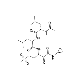 CC(=O)N[C@@H](CC(C)C)C(=O)N[C@@H](CC(C)C)C(=O)N[C@@H](CCS(C)(=O)=O)C(=O)C(=O)NC1CC1